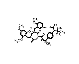 COc1cc(OC)c(CN2C[C@@H](Cc3cc(Cl)ccc3OC)C(=O)N(C(=O)N[C@@H](C)c3ccc(C(C(=O)O)C(C)(C)C)cc3)CC2=O)c(OC)c1